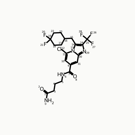 NC(=O)CCCNC(=O)c1cc(Cl)n2c(CC3CCC(F)(F)CC3)c(C(F)(F)F)nc2c1